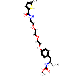 CC(C)(C)OC(=O)N[C@@H](Cc1ccc(OCCOCCOCCNC(=O)c2ccc(C#N)s2)cc1)C(=O)O